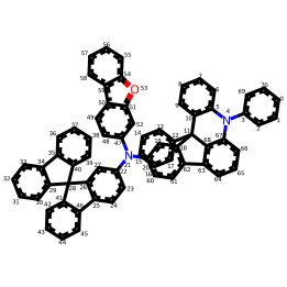 c1ccc(N2c3ccccc3C3(c4ccccc4)c4cc(N(c5ccc6c(c5)C5(c7ccccc7-c7ccccc75)c5ccccc5-6)c5ccc6c(c5)oc5ccccc56)ccc4-c4cccc2c43)cc1